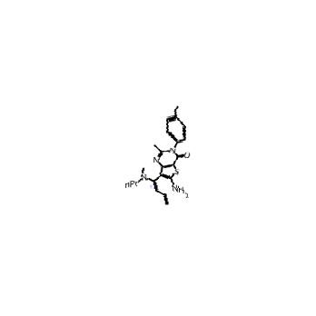 C=C/C=C(\c1c(N)sc2c(=O)n(-c3ccc(C)cc3)c(C)nc12)N(C)CCC